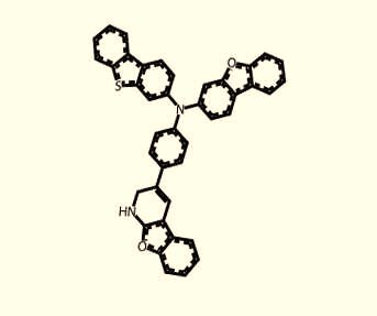 C1=C(c2ccc(N(c3ccc4c(c3)oc3ccccc34)c3ccc4c(c3)sc3ccccc34)cc2)CNc2oc3ccccc3c21